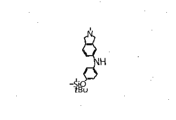 CN1Cc2ccc(Nc3ccc(O[Si](C)(C)C(C)(C)C)cc3)cc2C1